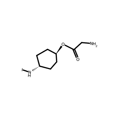 NCC(=O)O[C@H]1CC[C@H](NI)CC1